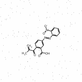 C=C(C)C(=O)c1ccc(N=Nc2ccccc2[N+](=O)[O-])cc1C(=O)O